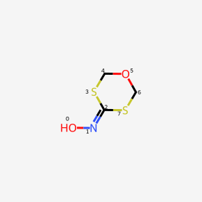 ON=C1SCOCS1